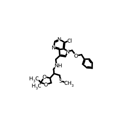 CSCC(CNCc1cn(COCc2ccccc2)c2c(Cl)ncnc12)C1COC(C)(C)O1